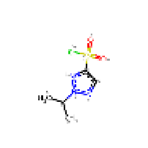 CC(C)n1ncc(S(=O)(=O)Cl)n1